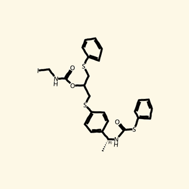 C[C@@H](NC(=O)Sc1ccccc1)c1ccc(SCC(CSc2ccccc2)OC(=O)NCI)cc1